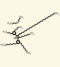 CCCCCCCCCCCCCCCCCCCCCCCCCCC=CC1=C(c2cc(CCCC)cc(CCCC)c2)[N+](=[N-])C(c2cc(CCCCCCCC)cc(CCCCCCCC)c2)=C1CCCCCCCC.CCC[CH2][Ni][CH2]CCC